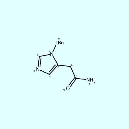 CC(C)(C)n1cncc1CC(N)=O